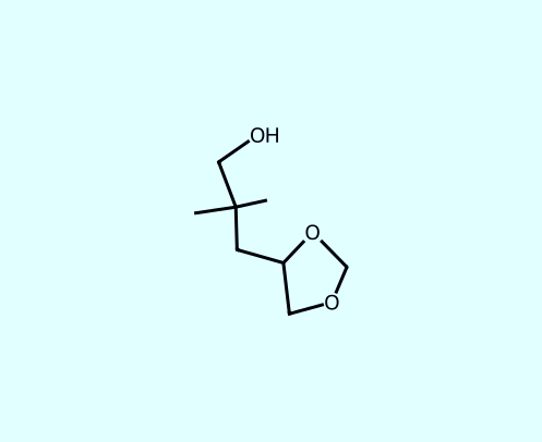 CC(C)(CO)CC1COCO1